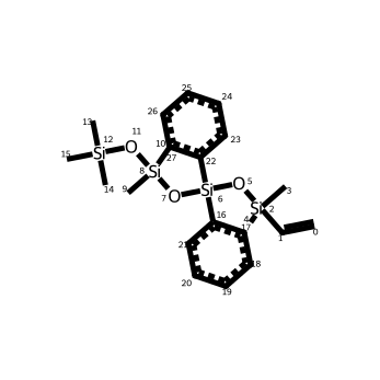 C=C[Si](C)(C)O[Si](O[Si](C)(C)O[Si](C)(C)C)(c1ccccc1)c1ccccc1